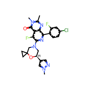 Cc1nc2c(-c3ccc(Cl)cc3F)nc(N3C[C@@H](c4cnn(C)c4)OC4(CC4)C3)c(F)c2c(=O)n1C